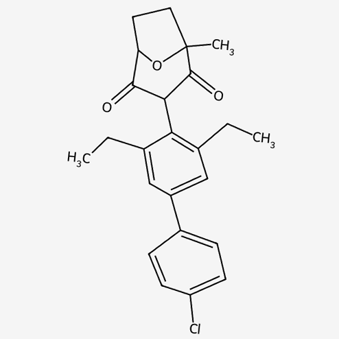 CCc1cc(-c2ccc(Cl)cc2)cc(CC)c1C1C(=O)C2CCC(C)(O2)C1=O